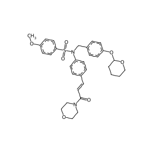 COc1ccc(S(=O)(=O)N(Cc2ccc(OC3CCCCO3)cc2)c2ccc(C=CC(=O)N3CCOCC3)cc2)cc1